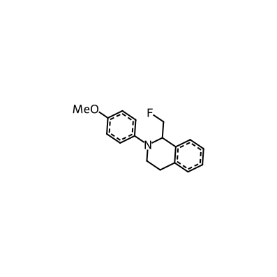 COc1ccc(N2CCc3ccccc3C2CF)cc1